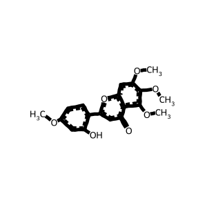 COc1ccc(-c2cc(=O)c3c(OC)c(OC)c(OC)cc3o2)c(O)c1